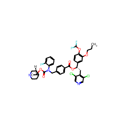 CCCOc1cc([C@H](Cc2c(Cl)cncc2Cl)OC(=O)c2ccc(CN(C(=O)O[C@H]3CN4CCC3CC4)c3ccccc3F)cc2)ccc1OC(F)F